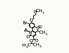 COCCCOc1cc2c(cc1Br)-c1c(cc(C(=O)OC(C)C)c(=O)n1C1CC1)C(C)[S+]2[O-]